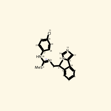 CS/C(=N\CC1c2ccccc2-c2cncn21)Nc1ccc(Cl)cc1